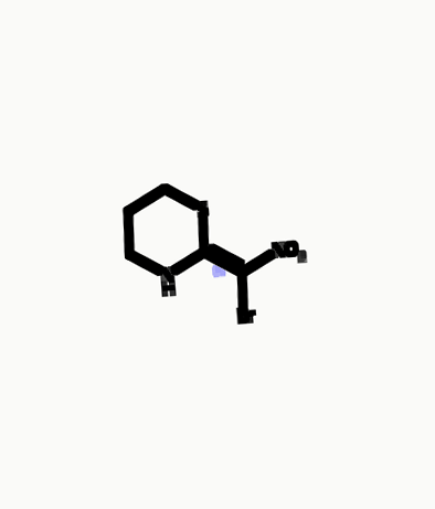 O=[N+]([O-])/C(Br)=C1/NCCCS1